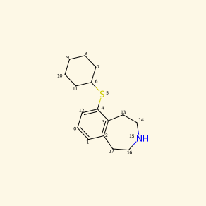 c1cc2c(c(SC3CCCCC3)c1)CCNCC2